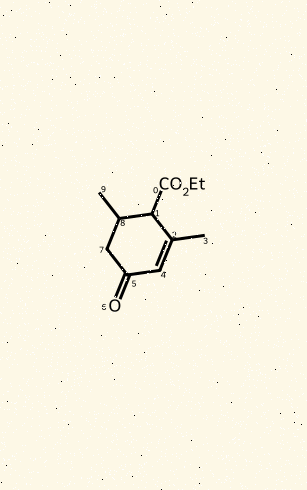 CCOC(=O)C1C(C)=CC(=O)CC1C